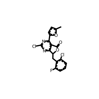 Cc1ccc(-c2nc(Cl)nc3c2C(=O)OC3Cc2c(F)cccc2Cl)o1